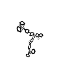 c1ccc(N(c2ccccc2)c2ccc(-c3ccc(N(c4ccc5c(c4)sc4ccccc45)c4ccc5c(c4)sc4ccc(N(c6ccccc6)c6ccccc6)cc45)cc3)cc2)cc1